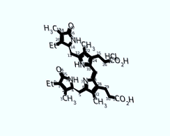 CCC1=C(C)[C@H](CC2=N/C(=C\c3[nH]c(C[C@@H]4NC(=O)C(C)=C4CC)c(C)c3CCC(=O)O)C(CCC(=O)O)=C2C)NC1=O.Cl